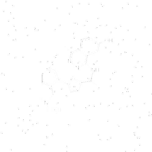 Cc1nnc(NC(C)c2ccc(-c3ccccc3CN(C)C(=O)O)s2)c2cc(O)ccc12